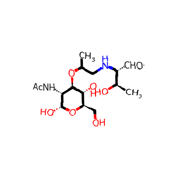 CC(=O)N[C@@H]1[C@@H](OC(C)CN[C@H]([C]=O)[C@@H](C)O)[C@H](O)[C@@H](CO)O[C@@H]1O